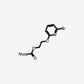 CNC(=O)OCCOc1cccc(Br)n1